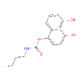 CCCCNC(=O)Oc1ccc(O)c2c(O)cccc12